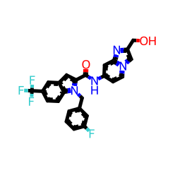 O=C(Nc1ccn2cc(CO)nc2c1)c1cc2cc(C(F)(F)F)ccc2n1Cc1cccc(F)c1